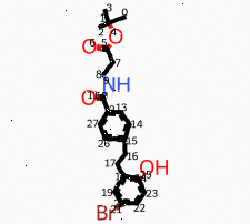 CC(C)(C)OC(=O)CCNC(=O)c1ccc(CCc2cc(Br)ccc2O)cc1